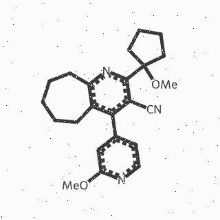 COc1cc(-c2c(C#N)c(C3(OC)CCCC3)nc3c2CCCCC3)ccn1